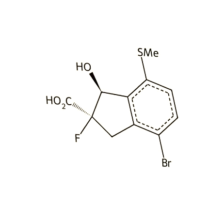 CSc1ccc(Br)c2c1[C@H](O)[C@@](F)(C(=O)O)C2